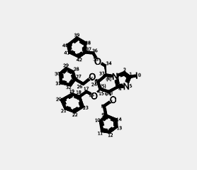 Ic1cn2c(n1)[C@H](OCc1ccccc1)[C@@H](OCc1ccccc1)[C@H](OCc1ccccc1)[C@H]2COCc1ccccc1